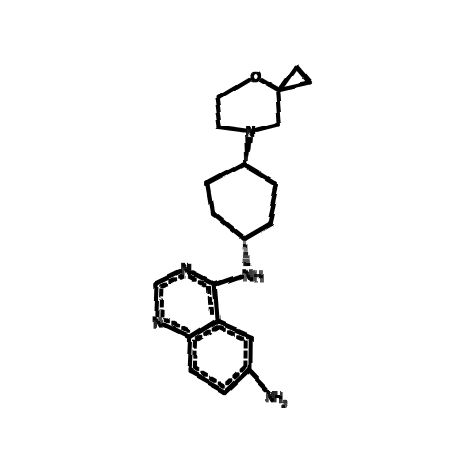 Nc1ccc2ncnc(N[C@H]3CC[C@H](N4CCOC5(CC5)C4)CC3)c2c1